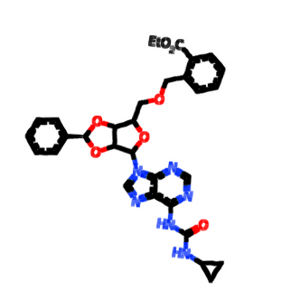 CCOC(=O)c1ccccc1COCC1OC(n2cnc3c(NC(=O)NC4CC4)ncnc32)C2O[C@@H](c3ccccc3)OC12